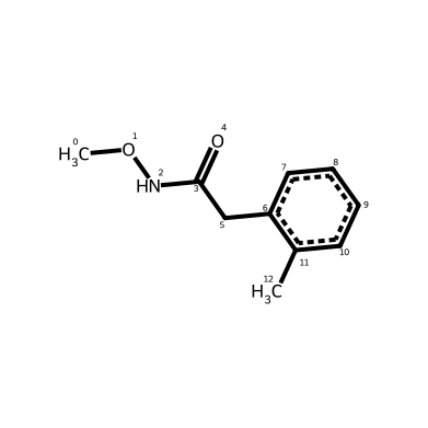 CONC(=O)Cc1ccccc1C